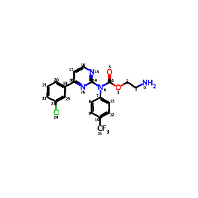 NCCOC(=O)N(c1ccc(C(F)(F)F)cc1)c1nccc(-c2cccc(Cl)c2)n1